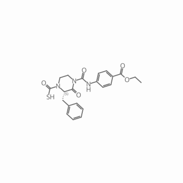 CCOC(=O)c1ccc(NC(=O)N2CCN(C(=O)S)[C@@H](Cc3ccccc3)C2=O)cc1